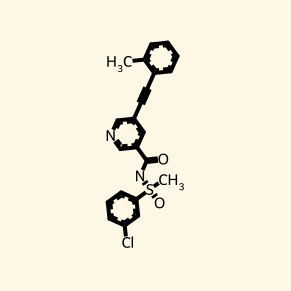 Cc1ccccc1C#Cc1cncc(C(=O)N=S(C)(=O)c2cccc(Cl)c2)c1